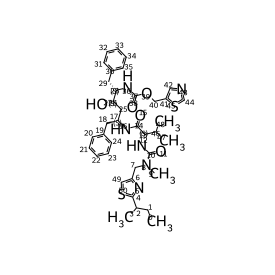 CCC(C)c1nc(CN(C)C(=O)N[C@H](C(=O)N[C@@H](Cc2ccccc2)C[C@H](O)[C@H](Cc2ccccc2)NC(=O)OCc2cncs2)C(C)C)cs1